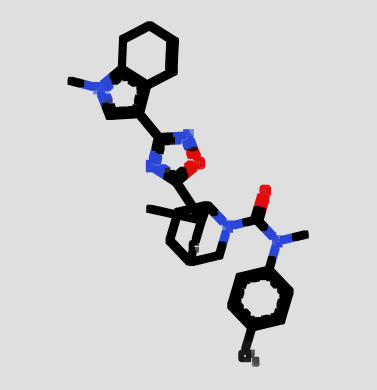 CN(C(=O)N1CC2CCC1C(C)(c1nc(-c3cn(C)c4c3C=CCC4)no1)C2)c1ccc(C(F)(F)F)cc1